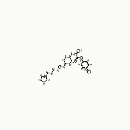 CN(CC1CCC(COCCCCN2CCCC2)CC1)C(=O)Oc1ccc(Cl)cc1